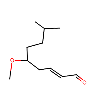 COC(CC=CC=O)CCC(C)C